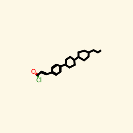 CCCC1CCC(C2CCC(c3ccc(C=CC(=O)Cl)cc3)CC2)CC1